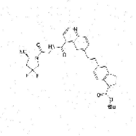 CC(C)(C)OC(=O)N1CCc2cc(/C=C/c3ccc4nccc(C(=O)NCC(=O)N5CC(F)(F)C[C@H]5C#N)c4c3)ccc21